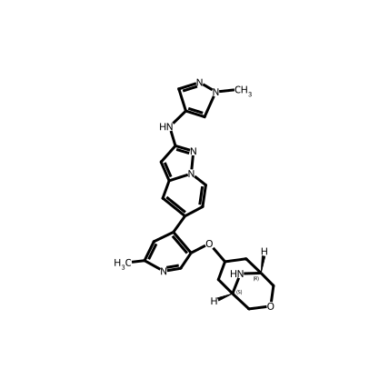 Cc1cc(-c2ccn3nc(Nc4cnn(C)c4)cc3c2)c(OC2C[C@H]3COC[C@@H](C2)N3)cn1